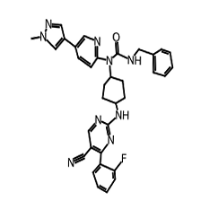 Cn1cc(-c2ccc(N(C(=O)NCc3ccccc3)C3CCC(Nc4ncc(C#N)c(-c5ccccc5F)n4)CC3)nc2)cn1